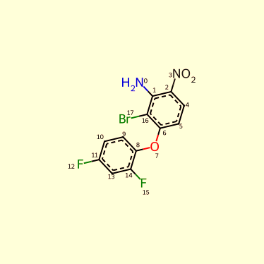 Nc1c([N+](=O)[O-])ccc(Oc2ccc(F)cc2F)c1Br